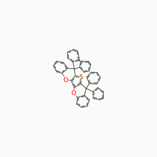 c1ccc(C2(c3ccccc3)c3ccccc3Oc3c2sc2c3Oc3ccccc3C2(c2ccccc2)c2ccccc2)cc1